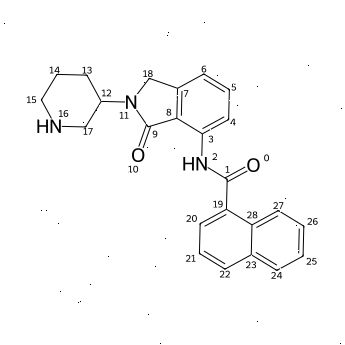 O=C(Nc1cccc2c1C(=O)N(C1CCCNC1)C2)c1cccc2ccccc12